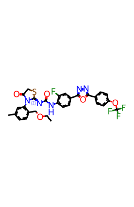 CCOCc1ccc(C)cc1N1C(=O)CS/C1=N\C(=O)Nc1ccc(-c2nnc(-c3ccc(OC(F)(F)F)cc3)o2)cc1F